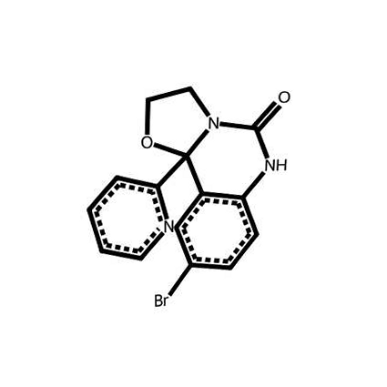 O=C1Nc2ccc(Br)cc2C2(c3ccccn3)OCCN12